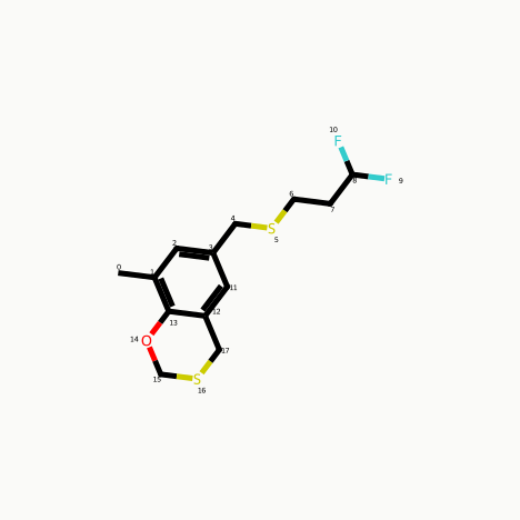 Cc1cc(CSCCC(F)F)cc2c1OCSC2